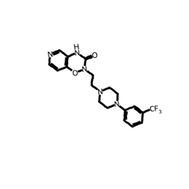 O=C1Nc2cnccc2ON1CCN1CCN(c2cccc(C(F)(F)F)c2)CC1